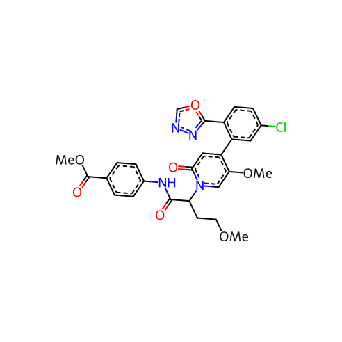 COCCC(C(=O)Nc1ccc(C(=O)OC)cc1)n1cc(OC)c(-c2cc(Cl)ccc2-c2nnco2)cc1=O